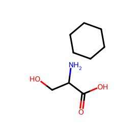 C1CCCCC1.NC(CO)C(=O)O